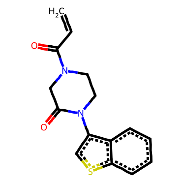 C=CC(=O)N1CCN(c2csc3ccccc23)C(=O)C1